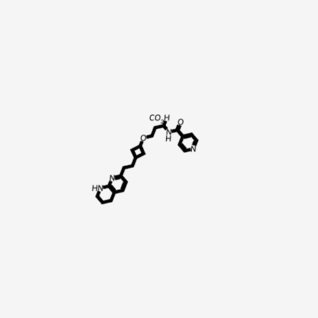 O=C(NC(CCOC1CC(CCc2ccc3c(n2)NCCC3)C1)C(=O)O)c1ccncc1